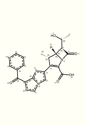 C[C@@H](O)[C@H]1C(=O)N2C(C(=O)O)=C(c3cn4cnc(C(=O)c5cccnc5)c4s3)[C@H](C)[C@H]12